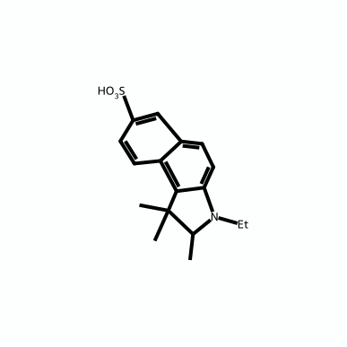 CCN1c2ccc3cc(S(=O)(=O)O)ccc3c2C(C)(C)C1C